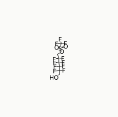 O=S(=O)(OCC(F)(F)C(F)(F)C(F)(F)C(F)(F)CO)C(F)(F)F